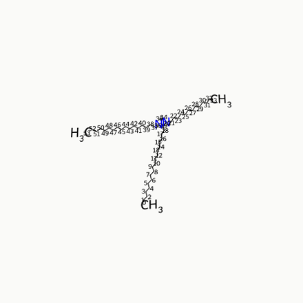 CCCCCCCCCCCCCCCCCCCC1N(CCCCCCCCCCCCC)C=CN1CCCCCCCCCCCCCCCCC